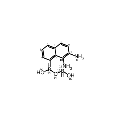 Nc1ccc2ccccc2c1N.OBOBO